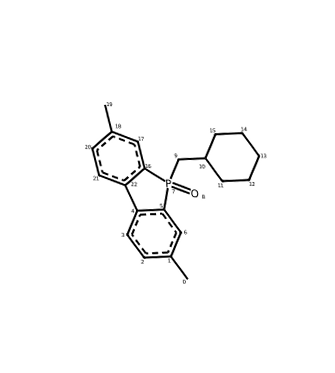 Cc1ccc2c(c1)P(=O)(CC1CCCCC1)c1cc(C)ccc1-2